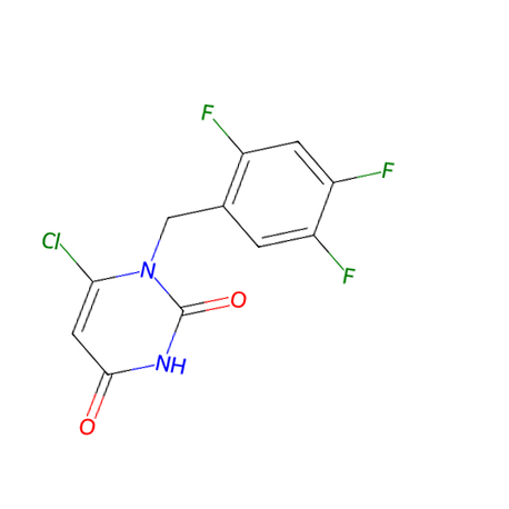 O=c1cc(Cl)n(Cc2cc(F)c(F)cc2F)c(=O)[nH]1